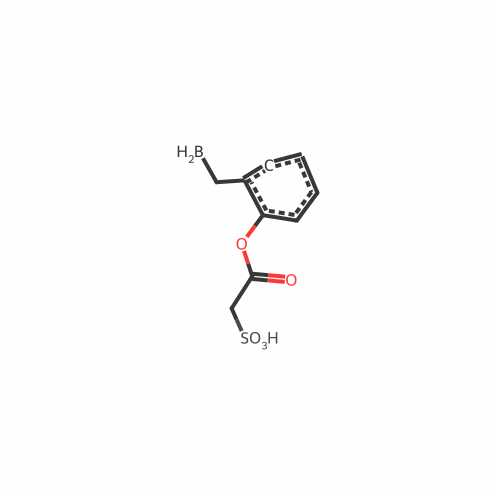 BCc1ccccc1OC(=O)CS(=O)(=O)O